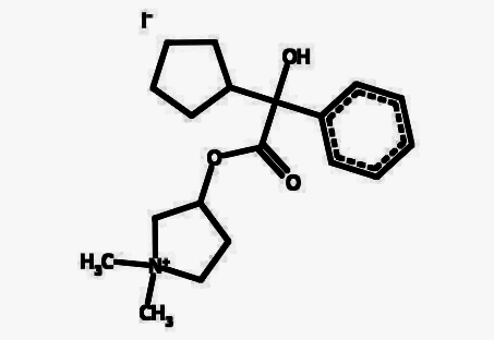 C[N+]1(C)CCC(OC(=O)C(O)(c2ccccc2)C2CCCC2)C1.[I-]